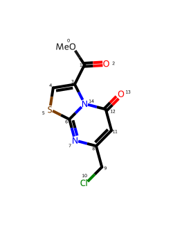 COC(=O)c1csc2nc(CCl)cc(=O)n12